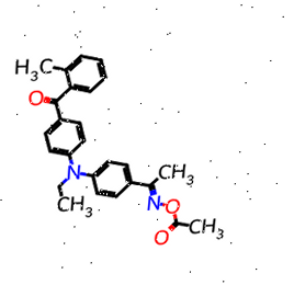 CCN(c1ccc(C(=O)c2ccccc2C)cc1)c1ccc(/C(C)=N/OC(C)=O)cc1